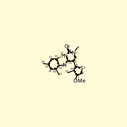 COc1csc(-c2cn(C)c(=O)n(C)c2=Nc2c(C)cc(C)cc2C)c1C